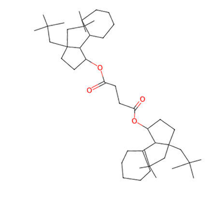 CC(C)(C)CC1(CC(C)(C)C)CCC(OC(=O)CCC(=O)OC2CCC(CC(C)(C)C)(CC(C)(C)C)C2C2CCCCC2)C1C1CCCCC1